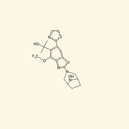 CC(C)(O)c1c(-c2nccs2)cc2oc(N3CC4CCC(C3)N4O)nc2c1OC(F)(F)F